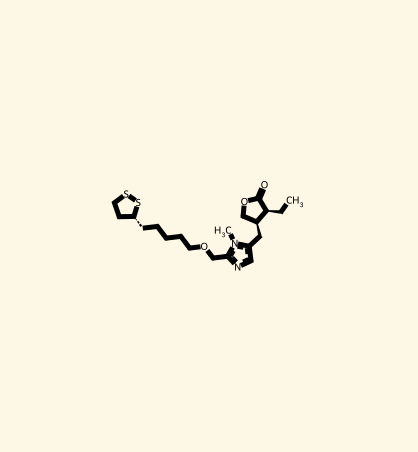 CC[C@@H]1C(=O)OC[C@@H]1Cc1cnc(COCCCCC[C@@H]2CCSS2)n1C